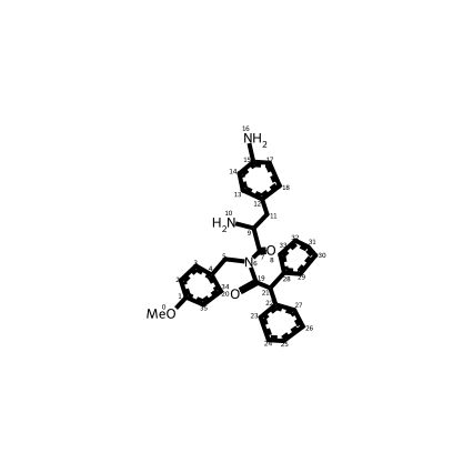 COc1ccc(CN(C(=O)C(N)Cc2ccc(N)cc2)C(=O)C(c2ccccc2)c2ccccc2)cc1